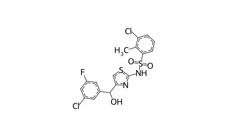 Cc1c(Cl)cccc1S(=O)(=O)Nc1nc(C(O)c2cc(F)cc(Cl)c2)cs1